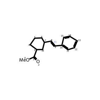 COC(=O)C1CCCC(/C=C/c2ccccc2)C1